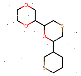 C1CSCC(C2CSCC(C3COCCO3)O2)C1